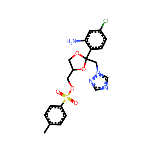 Cc1ccc(S(=O)(=O)OCC2COC(Cn3cncn3)(c3ccc(Cl)cc3N)O2)cc1